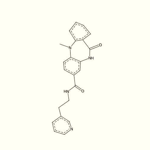 CN1c2ccc(C(=O)NCCc3cccnc3)cc2NC(=O)c2ccccc21